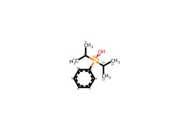 CC(C)[PH](O)(c1ccccc1)C(C)C